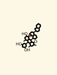 COc1c(C)cc(C)c2c(-c3cc(O)cc(O)c3)c3c(C)cc(O)c(O)c3c(-c3cccc4c(-c5ccc6ccccc6c5)cccc34)c12